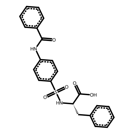 O=C(Nc1ccc(S(=O)(=O)N[C@@H](Cc2ccccc2)C(=O)O)cc1)c1ccccc1